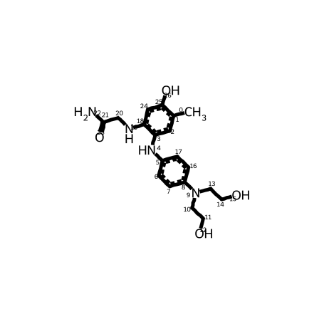 Cc1cc(Nc2ccc(N(CCO)CCO)cc2)c(NCC(N)=O)cc1O